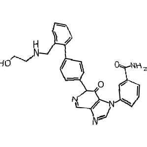 NC(=O)c1cccc(-n2cnc3c2C(=O)C(c2ccc(-c4ccccc4CNCCO)cc2)N=C3)c1